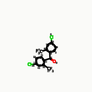 O=C(c1ccc(Cl)cc1C(F)(F)F)c1ccc(Cl)cc1C(F)(F)F